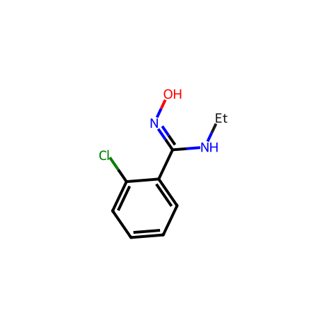 CCN/C(=N\O)c1ccccc1Cl